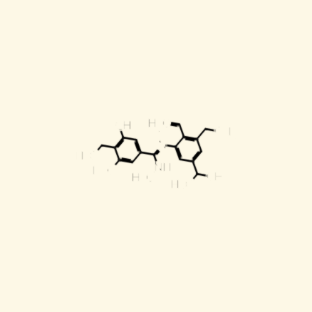 C=Cc1c(CC)cc(C(C)C)cc1/N=C(\NC)c1cc(C)c(CC)c(C)c1